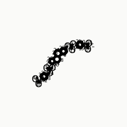 C[C@]12CCC3c4ccc(OC(=O)Oc5ccc([N+](=O)[O-])cc5)cc4CCC3C1CC[C@@H]2OC(=O)Oc1ccc([N+](=O)[O-])cc1